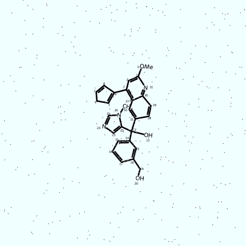 COc1cc(C2=CCC=C2)c2cc(C(O)(c3cccc(CO)c3)c3cncn3C)ccc2n1